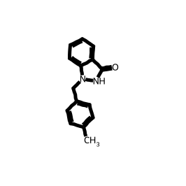 Cc1ccc(Cn2[nH]c(=O)c3ccccc32)cc1